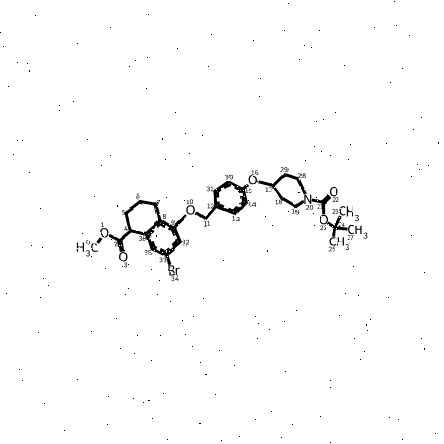 COC(=O)C1CCCc2c(OCc3ccc(OC4CCN(C(=O)OC(C)(C)C)CC4)cc3)cc(Br)cc21